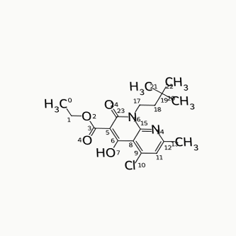 CCOC(=O)c1c(O)c2c(Cl)cc(C)nc2n(CCC(C)(C)C)c1=O